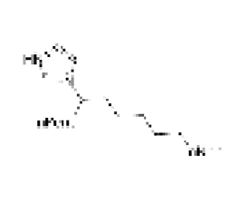 CCCCCCCCCCCCCCC(CCCCC)[n+]1cc[nH]c1